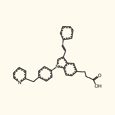 O=C(O)CCc1ccc2c(c1)c(C=Cc1ccccc1)cn2-c1ccc(Cc2ccccn2)cc1